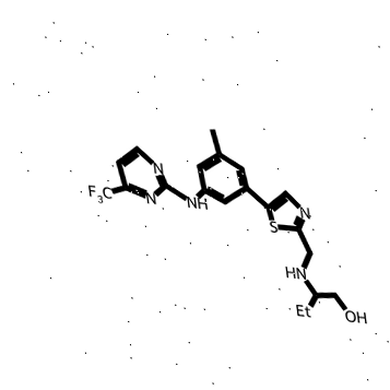 CCC(CO)NCc1ncc(-c2cc(C)cc(Nc3nccc(C(F)(F)F)n3)c2)s1